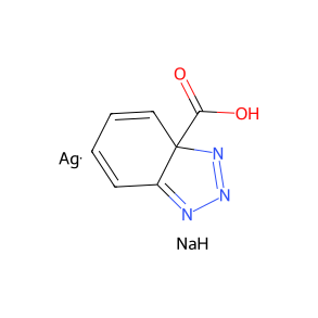 O=C(O)C12C=CC=CC1=NN=N2.[Ag].[NaH]